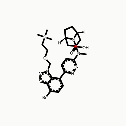 CN(c1ccc(-c2ccc(Br)c3nnn(COCC[Si](C)(C)C)c23)nn1)C1C[C@H]2CC[C@@H](C1)N2C(=O)O